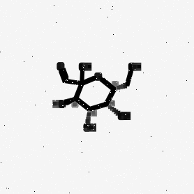 O=CC1(O)O[C@H](CO)[C@H](O)[C@H](O)[C@H]1O